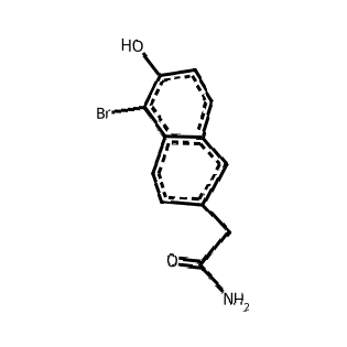 NC(=O)Cc1ccc2c(Br)c(O)ccc2c1